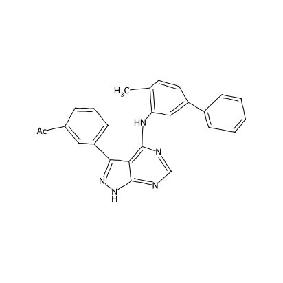 CC(=O)c1cccc(-c2n[nH]c3ncnc(Nc4cc(-c5ccccc5)ccc4C)c23)c1